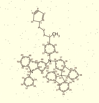 CC(CCCC1C=CC#CC1)c1ccc(N(c2ccc3c(c2)C2(c4ccccc4-c4ccccc42)c2ccccc2-3)c2ccc3c(c2)c2ccccc2n3-c2ccccc2)cc1